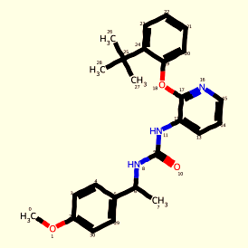 COc1ccc(C(C)NC(=O)Nc2cccnc2Oc2ccccc2C(C)(C)C)cc1